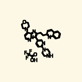 O=C(O)C(F)(F)F.c1ccc2nc(CCc3nc4c(N5CCOCC5)ccnn4c3-c3ccc(N4CCNCC4)nc3)ccc2c1